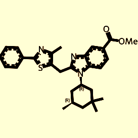 COC(=O)c1ccc2c(c1)nc(Cc1sc(-c3ccccc3)nc1C)n2[C@@H]1C[C@H](C)CC(C)(C)C1